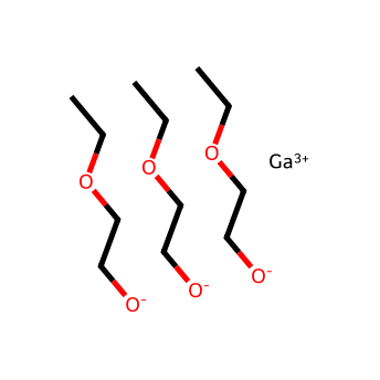 CCOCC[O-].CCOCC[O-].CCOCC[O-].[Ga+3]